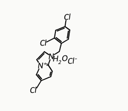 Clc1ccc(Cn2cc[n+]3cc(Cl)ccc23)c(Cl)c1.O.[Cl-]